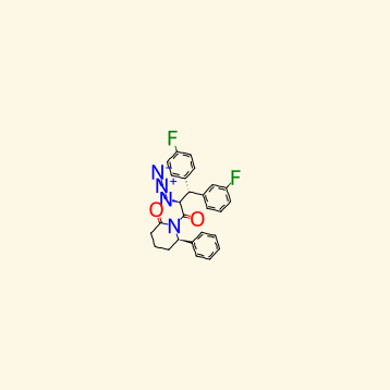 [N-]=[N+]=N[C@H](C(=O)N1C(=O)CCC[C@@H]1c1ccccc1)[C@H](c1ccc(F)cc1)c1cccc(F)c1